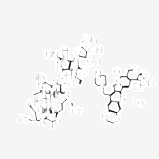 C=CCn1c(=O)n([C@@H]2O[C@H](CO)[C@@H](O)[C@H]2O)c2[nH]c(=N)nc(O)c21.CC(C)CC(O)=N[C@H](C(O)=N[C@H](C(O)=N[C@@H](CC(C)C)[C@@H](O)CC(O)=N[C@@H](C)C(O)=N[C@@H](CC(C)C)[C@@H](O)CC(=O)O)C(C)C)C(C)C.CC[C@@]1(O)C(=O)OCc2c1cc1n(c2=O)Cc2c-1nc1cc3c(cc1c2CN1CCN(C)CC1)OCCO3.[Lu]